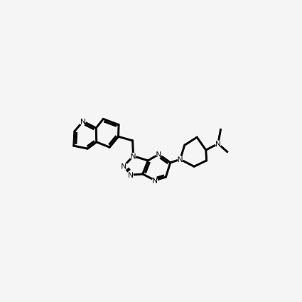 CN(C)C1CCN(c2cnc3nnn(Cc4ccc5ncccc5c4)c3n2)CC1